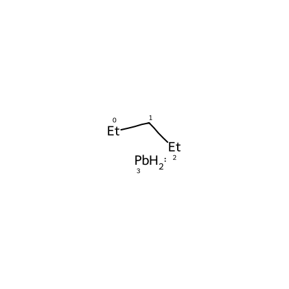 CCCCC.[PbH2]